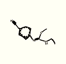 CCN/C(=N/c1ccc(C#N)cc1)SC